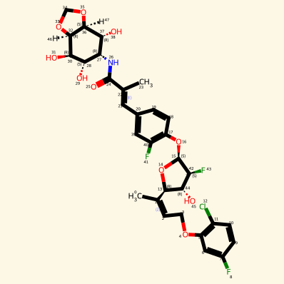 C/C(=C/COc1cc(F)ccc1Cl)[C@H]1O[C@@H](Oc2ccc(/C=C(\C)C(=O)N[C@@H]3[C@H](O)[C@@H](O)[C@H]4OCO[C@H]4[C@@H]3O)cc2F)[C@@H](F)[C@@H]1O